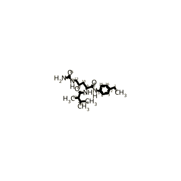 CCc1ccc(NC(=O)C(CCCNC(N)=O)NC(=O)C(C)C(C)C)cc1